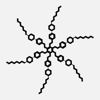 CCCCCCCC[C@H]1CC[C@H](c2ccc(CCc3c(CCc4ccc([C@H]5CC[C@H](CCCCCCCC)CC5)cc4)c(CCc4ccc([C@H]5CC[C@H](CCCCCCCC)CC5)cc4)c(CCc4ccc([C@H]5CC[C@H](CCCCCCCC)CC5)cc4)c(CCc4ccc([C@H]5CC[C@H](CCCCCCCC)CC5)cc4)c3CCc3ccc([C@H]4CC[C@H](CCCCCCCC)CC4)cc3)cc2)CC1